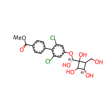 COC(=O)c1ccc(-c2c(Cl)cc(O[C@@H](O)C3(O)C(O)[C@H](O)C3CO)cc2Cl)cc1